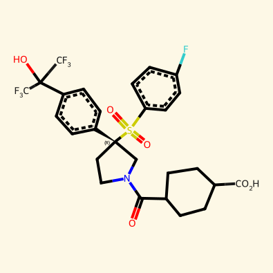 O=C(O)C1CCC(C(=O)N2CC[C@](c3ccc(C(O)(C(F)(F)F)C(F)(F)F)cc3)(S(=O)(=O)c3ccc(F)cc3)C2)CC1